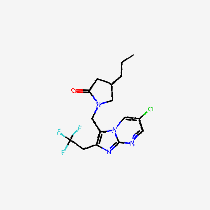 CCCC1CC(=O)N(Cc2c(CC(F)(F)F)nc3ncc(Cl)cn23)C1